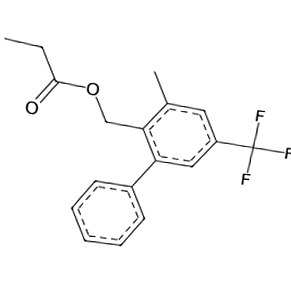 CCC(=O)OCc1c(C)cc(C(F)(F)F)cc1-c1ccccc1